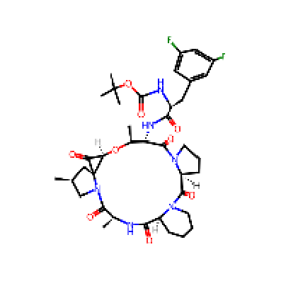 C[C@@H]1CN2C(=O)[C@H](C)NC(=O)[C@@H]3CCCCN3C(=O)[C@@H]3CCCN3C(=O)[C@@H](NC(=O)[C@H](Cc3cc(F)cc(F)c3)NC(=O)OC(C)(C)C)[C@H](C)O[C@@H]3C(=O)[C@]32C1